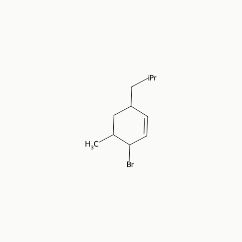 CC(C)CC1C=CC(Br)C(C)C1